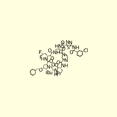 CC[C@@H](C)[C@H](NC(=O)[C@H](CC(C)C)NC(=O)c1cnccn1)C(=O)N1C[C@H](OCc2ccccc2)C[C@H]1C(=O)N[C@@H](CC(F)F)C(=O)C(=O)NCC(=O)NS(=O)(=O)c1nnc(NC(=O)c2cccc(Cl)c2)s1